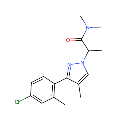 Cc1cc(Cl)ccc1-c1nn(C(C)C(=O)N(C)C)cc1C